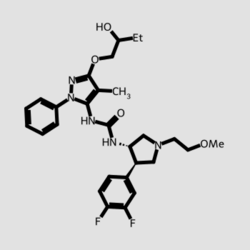 CCC(O)COc1nn(-c2ccccc2)c(NC(=O)N[C@@H]2CN(CCOC)C[C@H]2c2ccc(F)c(F)c2)c1C